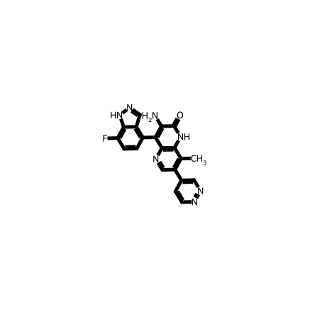 Cc1c(-c2ccnnc2)cnc2c(-c3ccc(F)c4[nH]ncc34)c(N)c(=O)[nH]c12